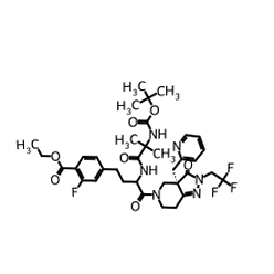 CCOC(=O)c1ccc(CCC(NC(=O)C(C)(C)NC(=O)OC(C)(C)C)C(=O)N2CCC3=NN(CC(F)(F)F)C(=O)[C@]3(Cc3ccccn3)C2)cc1F